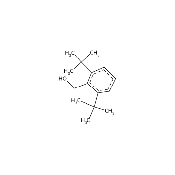 CC(C)(C)c1cccc(C(C)(C)C)c1CO